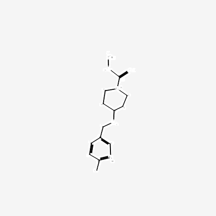 Cc1ccc(COC2CCN(C(=O)OC(C)(C)C)CC2)cn1